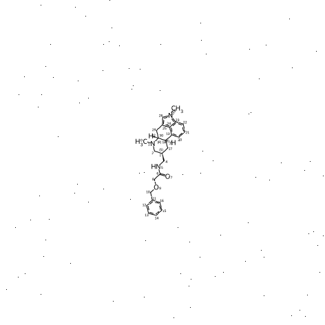 CN1C[C@H](CNC(=O)COCc2ccccc2)C[C@@H]2c3cccc4c3c(cn4C)C[C@H]21